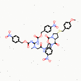 COc1ccc(CS[C@H]2C[C@@H](C(=O)N3CC(NC(=O)CN(C)/C(=N\C(=O)OCc4ccc([N+](=O)[O-])cc4)NC(=O)OCc4ccc([N+](=O)[O-])cc4)C3)N(C(=O)OCc3ccc([N+](=O)[O-])cc3)C2)cc1